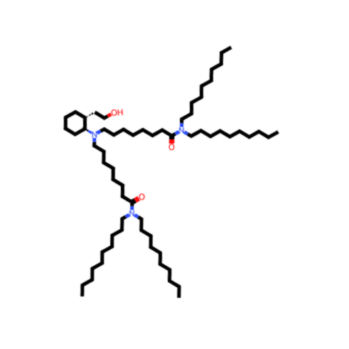 CCCCCCCCCCN(CCCCCCCCCC)C(=O)CCCCCCCN(CCCCCCCC(=O)N(CCCCCCCCCC)CCCCCCCCCC)[C@H]1CCCC[C@@H]1CCO